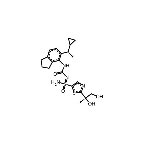 C[C@@H](c1ccc2c(c1NC(=O)N=S(N)(=O)c1cnc([C@@](C)(O)CO)s1)CCC2)C1CC1